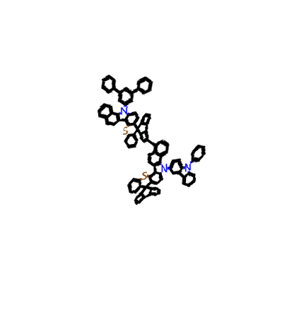 c1ccc(-c2cc(-c3ccccc3)cc(-n3c4ccc5c(c4c4ccc6ccccc6c43)Sc3ccccc3C53c4ccccc4-c4cc(-c5cccc6c5ccc5c7c8c(ccc7n(-c7ccc9c(c7)c7ccccc7n9-c7ccccc7)c65)C5(c6ccccc6S8)c6ccccc6-c6ccccc65)ccc43)c2)cc1